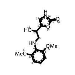 COc1cccc(OC)c1NCC(O)c1c[nH]c(=O)o1